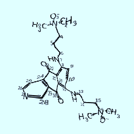 C[N+](C)([O-])CCCNc1ccc(NCCC[N+](C)(C)[O-])c2c1C(=O)c1ccncc1C2=O